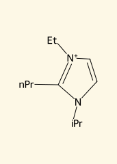 CCCc1n(C(C)C)cc[n+]1CC